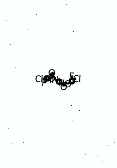 O=C(COc1ccc(Cl)c(F)c1)N1CCC(NCC2(Oc3ccc(Cl)c(F)c3)COC2)CC1